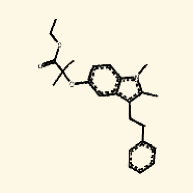 CCOC(=O)C(C)(C)Oc1ccc2c(c1)c(CCc1ccccc1)c(C)n2C